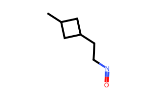 CC1CC(CCN=O)C1